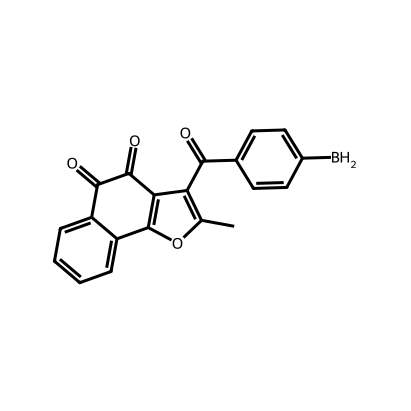 Bc1ccc(C(=O)c2c(C)oc3c2C(=O)C(=O)c2ccccc2-3)cc1